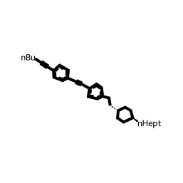 CCCCC#Cc1ccc(C#Cc2ccc(CC[C@H]3CC[C@H](CCCCCCC)CC3)cc2)cc1